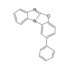 c1ccc(-c2ccc3oc4nc5ccccc5n4c3c2)cc1